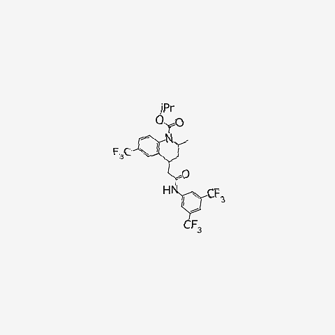 CC(C)OC(=O)N1c2ccc(C(F)(F)F)cc2C(CC(=O)Nc2cc(C(F)(F)F)cc(C(F)(F)F)c2)CC1C